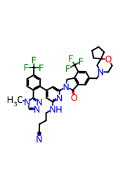 Cn1cnnc1-c1ccc(C(F)(F)F)cc1-c1cc(NCCCC#N)nc(N2Cc3c(cc(CN4CCOC5(CCCC5)C4)cc3C(F)(F)F)C2=O)c1